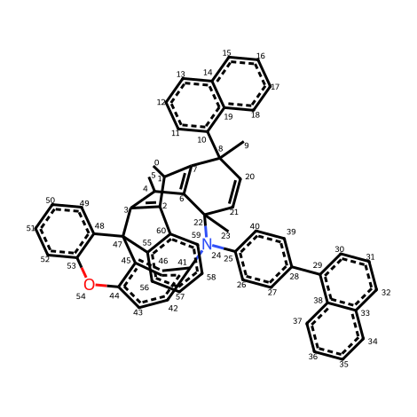 CC1C2=C3C(C)C4=C1C(C)(c1cccc5ccccc15)C=CC4(C)N(c1ccc(-c4cccc5ccccc45)cc1)c1ccc4c(c1)C3(c1ccccc1O4)c1ccccc12